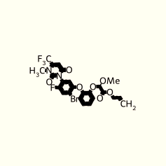 C=CCOC(=O)[C@@H](OC)Oc1ccccc1Oc1cc(-n2c(=O)cc(C(F)(F)F)n(C)c2=O)c(F)cc1Br